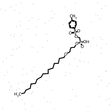 CCCCCCCCCCCCCCCCOCCCOP(=O)(O)COS(=O)(=O)c1ccc(C)cc1